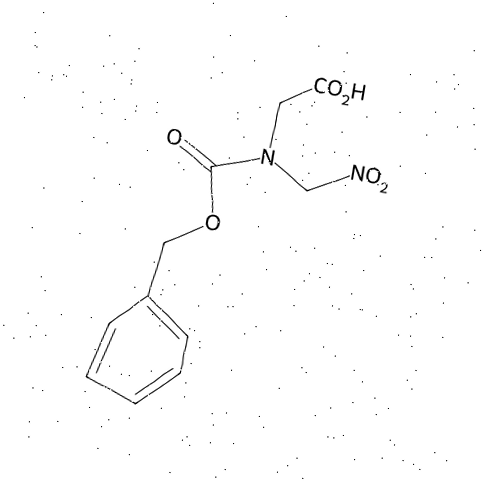 O=C(O)CN(C[N+](=O)[O-])C(=O)OCc1ccccc1